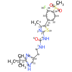 Cc1nc(NC(=O)NCCc2c[nH]c(C(C)(C)C)n2)sc1-c1ccc(S(C)(=O)=O)c(F)c1